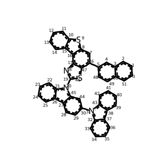 c1ccc2cc(-c3cc4sc5ccccc5c4c4nc(-n5c6ccccc6c6ccc(-n7c8ccccc8c8ccccc87)cc65)sc34)ccc2c1